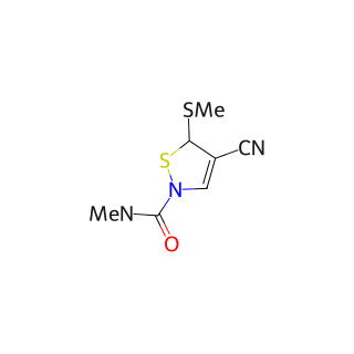 CNC(=O)N1C=C(C#N)C(SC)S1